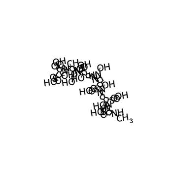 CCCNc1ccc(S(=O)(=O)O)c(N=Nc2c(SOOO)cc3cc(N=Nc4c(SOOO)cc5c(N=Nc6ccc7c(O)c(N=Nc8cc(C)c(N=Nc9cc(S(=O)(=O)O)cc%10cc(S(=O)(=O)O)cc(O)c9%10)cc8OCCO)c(S(=O)(=O)O)cc7c6)c(NCCO)ccc5c4O)ccc3c2O)c1